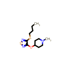 CCCCSc1nsnc1OC1CCN(C)CC1